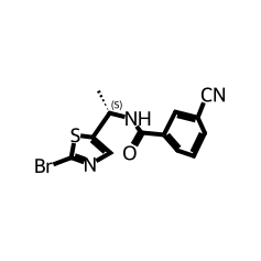 C[C@H](NC(=O)c1cccc(C#N)c1)c1cnc(Br)s1